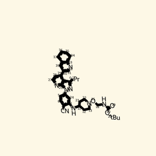 CC(C)c1nn(-c2ccc(C#N)c(NC3CCN(OCNC(=O)OC(C)(C)C)CC3)c2)c2nccc(-c3cnc4ccccc4c3)c12